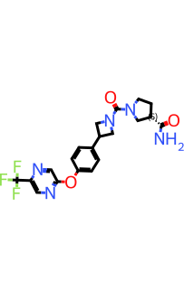 NC(=O)[C@H]1CCN(C(=O)N2CC(c3ccc(Oc4cnc(C(F)(F)F)cn4)cc3)C2)C1